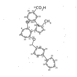 Cc1ccc(-c2c(Br)cccc2OCc2ccc(-c3ccccc3)cc2)n1-c1cccc(C(=O)O)c1